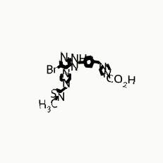 Cc1nc(CN2CCN(c3c(Br)cnc4[nH]c(-c5ccc(CN6CCN(C(=O)O)CC6)cc5)nc34)CC2)cs1